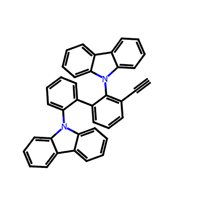 C#Cc1cccc(-c2ccccc2-n2c3ccccc3c3ccccc32)c1-n1c2ccccc2c2ccccc21